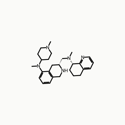 CN1CCC(N(C)c2cccc3c2C[C@H](CN(C)[C@H]2CCCc4cccnc42)NC3)CC1